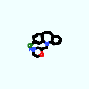 Clc1ccc2c(c1)N(CC1CNCCO1)c1ccccc1CC2